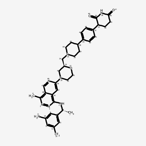 Cc1nnc(N[C@H](C)c2cc(N)cc(C(F)(F)F)c2)c2cc(N3CCO[C@H](CN4CCC(c5ccc(C6CCC(=O)NC6=O)cc5)CC4)C3)ncc12